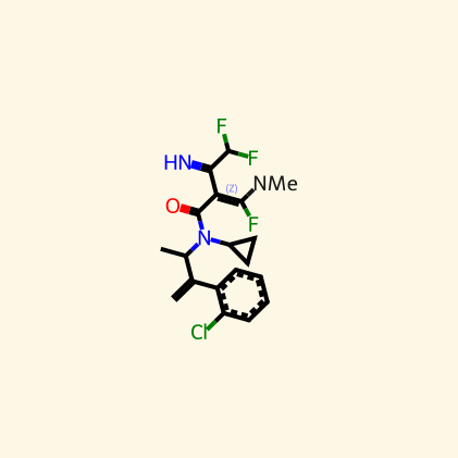 C=C(c1ccccc1Cl)C(C)N(C(=O)/C(C(=N)C(F)F)=C(\F)NC)C1CC1